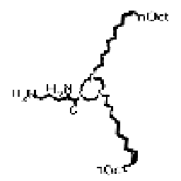 CCCCCCCC/C=C\CCCCCCCCN1CCN(CCCCCCCC/C=C\CCCCCCCC)CCN(C(=O)C(N)CCCN)CC1